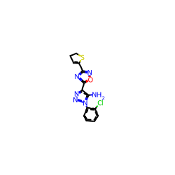 Nc1c(-c2nc(C3=CCCS3)no2)nnn1-c1ccccc1Cl